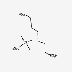 CCCCCCCCCCCCCCCCS(=O)(=O)O.CCCCCCCCCC[N+](C)(C)C